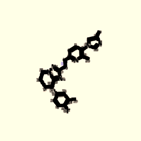 Cc1cn(-c2ccc(/C=C/c3nc4n(n3)CCC[C@H]4c3ccc(F)c(C)c3)nc2C)cn1